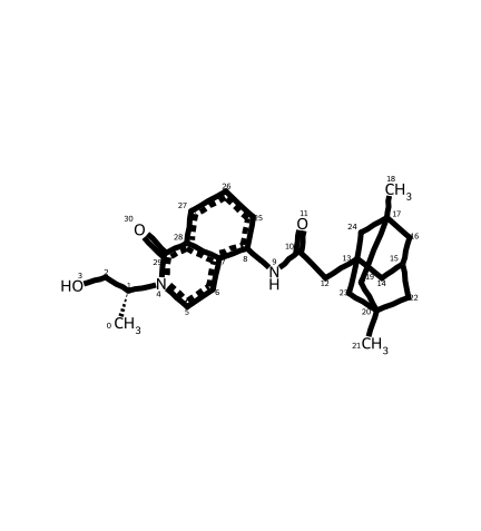 C[C@H](CO)n1ccc2c(NC(=O)CC34CC5CC(C)(CC(C)(C5)C3)C4)cccc2c1=O